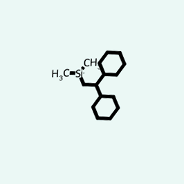 C[Si](C)CC(C1CCCCC1)C1CCCCC1